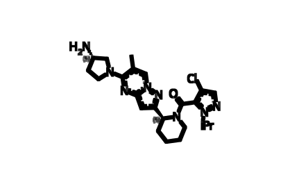 Cc1cn2nc([C@@H]3CCCCN3C(=O)c3c(Cl)cnn3C(C)C)cc2nc1N1CC[C@H](N)C1